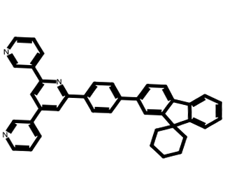 c1cncc(-c2cc(-c3ccc(-c4ccc5c(c4)C4(CCCCC4)c4ccccc4-5)cc3)nc(-c3cccnc3)c2)c1